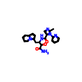 Cc1ncc(C(=O)NC(Cc2ccc3ccccn23)C(=O)C(N)=O)n1-c1ccccn1